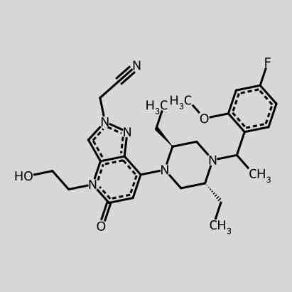 CC[C@H]1CN(C(C)c2ccc(F)cc2OC)[C@H](CC)CN1c1cc(=O)n(CCO)c2cn(CC#N)nc12